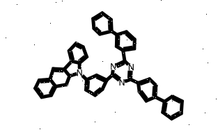 C1=C2c3ccccc3N(c3cccc(-c4nc(-c5ccc(-c6ccccc6)cc5)nc(-c5cccc(-c6ccccc6)c5)n4)c3)C2Cc2ccccc21